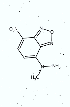 CN(N)c1ccc([N+](=O)[O-])c2nonc12